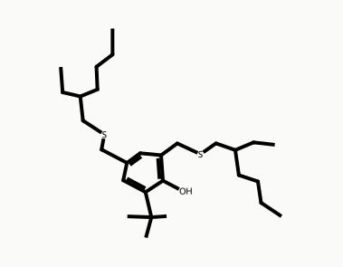 CCCCC(CC)CSCc1cc(CSCC(CC)CCCC)c(O)c(C(C)(C)C)c1